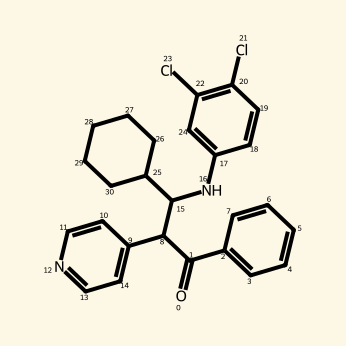 O=C(c1ccccc1)C(c1ccncc1)C(Nc1ccc(Cl)c(Cl)c1)C1CCCCC1